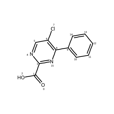 O=C(O)c1ncc(Cl)c(-c2ccccc2)n1